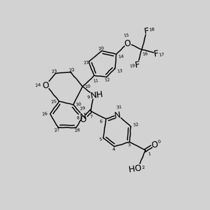 O=C(O)c1ccc(C(=O)NC2(c3ccc(OC(F)(F)F)cc3)CCOc3cccnc32)nc1